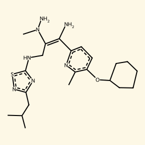 Cc1nc(/C(N)=C(\CNc2nc(CC(C)C)ns2)N(C)N)ccc1OC1CCCCC1